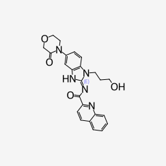 O=C(/N=c1\[nH]c2cc(N3CCOCC3=O)ccc2n1CCCO)c1ccc2ccccc2n1